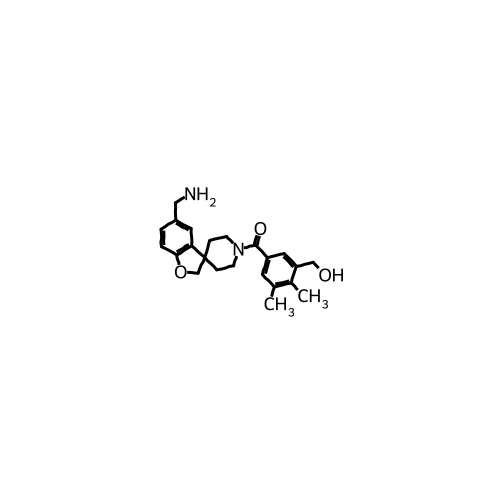 Cc1cc(C(=O)N2CCC3(CC2)COc2ccc(CN)cc23)cc(CO)c1C